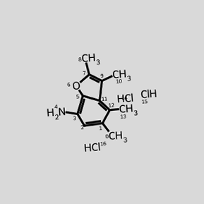 Cc1cc(N)c2oc(C)c(C)c2c1C.Cl.Cl.Cl